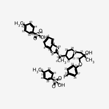 CN(c1nc2ccccc2s1)C1CCN(CC(C)(O)COc2ccc(F)cc2)CC1.Cc1ccc(S(=O)(=O)O)cc1.Cc1ccc(S(=O)(=O)O)cc1